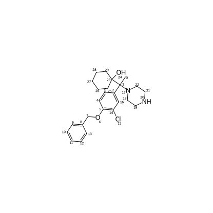 CC(c1ccc(OCc2ccccc2)c(Cl)c1)(N1CCNCC1)C1(O)CCCCC1